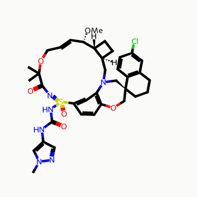 CO[C@H]1/C=C/COC(C)(C)C(=O)N=S(=O)(NC(=O)Nc2cnn(C)c2)c2ccc3c(c2)N(C[C@@H]2CC[C@H]21)C[C@@]1(CCCc2cc(Cl)ccc21)CO3